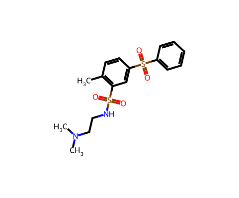 Cc1ccc(S(=O)(=O)c2ccccc2)cc1S(=O)(=O)NCCN(C)C